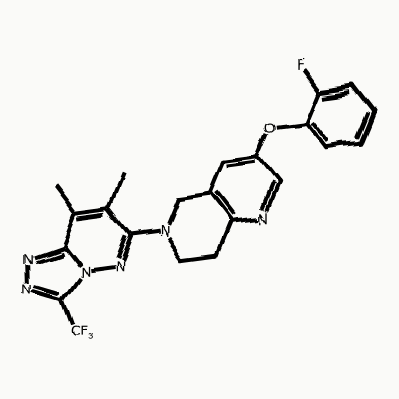 Cc1c(N2CCc3ncc(Oc4ccccc4F)cc3C2)nn2c(C(F)(F)F)nnc2c1C